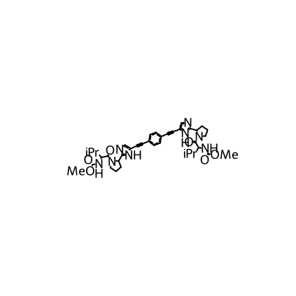 COC(=O)NC(C(=O)N1CCCC1c1ncc(C#Cc2ccc(C#Cc3cnc(C4CCCN4C(=O)C(NC(=O)OC)C(C)C)[nH]3)cc2)[nH]1)C(C)C